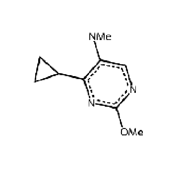 CNc1cnc(OC)nc1C1CC1